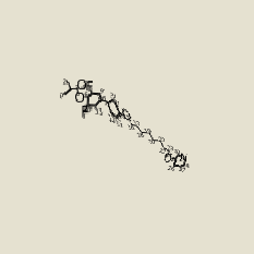 C=C(C)C(=O)Oc1c(F)cc(-c2ccc(OCCCCCCCCOc3cccnc3)cc2)cc1F